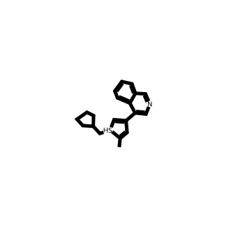 CC1=CC(c2cncc3ccccc23)=C[SH]1CC1CCCC1